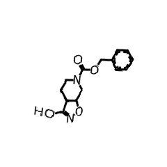 O=C(OCc1ccccc1)N1CCC2C(O)=NOC2C1